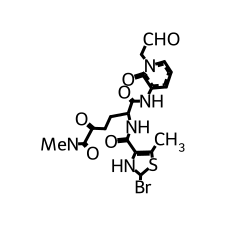 CNC(=O)C(=O)CCC(NC(=O)C1=C(C)SC(Br)N1)C(=O)Nc1cccn(CC=O)c1=O